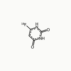 O=c1cc([18F])[nH]c(=O)[nH]1